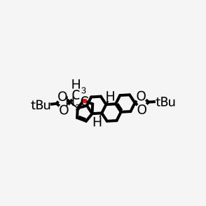 CC(C)(C)C1OC2(CCC3=C(CC[C@@H]4[C@@H]3CC[C@@]3(C)C45C=C[C@]3(C3(C)OC(C(C)(C)C)O3)CC5)C2)O1